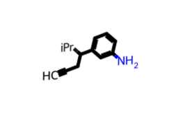 C#CCC(c1cccc(N)c1)C(C)C